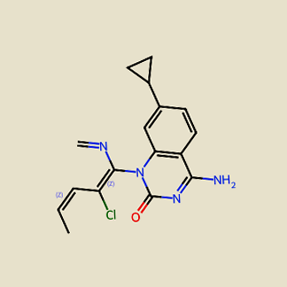 C=N/C(=C(Cl)\C=C/C)n1c(=O)nc(N)c2ccc(C3CC3)cc21